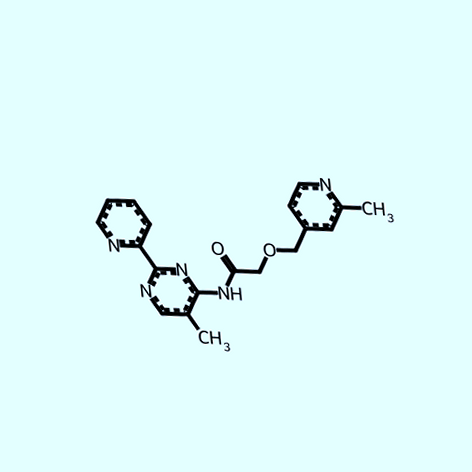 Cc1cc(COCC(=O)Nc2nc(-c3ccccn3)ncc2C)ccn1